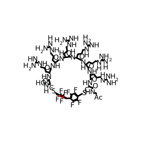 CC(=O)CNC(=O)C1CSc2c(F)c(F)c(c(F)c2F)-c2c(F)c(F)c(c(F)c2F)SCC(NO)C(=O)NC(CCCNC(=N)N)C(=O)NC(CCCNC(=N)N)C(=O)NC(CCCNC(=N)N)C(=O)NC(CCCNC(=N)N)C(=O)NC(CCCNC(=N)N)C(=O)NC(CCCNC(=N)N)C(=O)N1